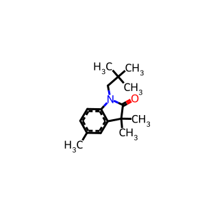 Cc1ccc2c(c1)C(C)(C)C(=O)N2CC(C)(C)C